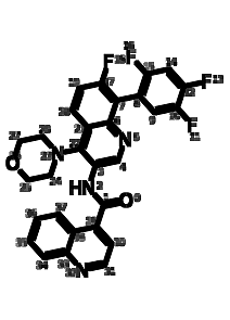 O=C(Nc1cnc2c(-c3cc(F)c(F)cc3F)c(F)ccc2c1N1CCOCC1)c1ccnc2ccccc12